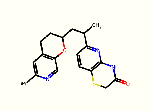 CC(C)c1cc2c(cn1)OC(CC(C)c1ccc3c(n1)NC(=O)CS3)CC2